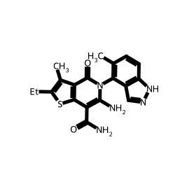 CCc1sc2c(C(N)=O)c(N)n(-c3c(C)ccc4[nH]ncc34)c(=O)c2c1C